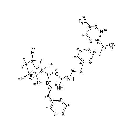 CC1(C)[C@@H]2C[C@H]3OB([C@H](Cc4ccccc4)NC(=O)NCCc4cccc(CC(C#N)c5ccc(C(F)(F)F)cn5)c4)O[C@@]3(C)[C@H]1C2